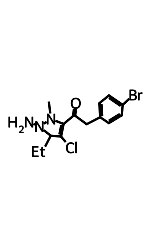 CCC1C(Cl)=C(C(=O)Cc2ccc(Br)cc2)N(C)N1N